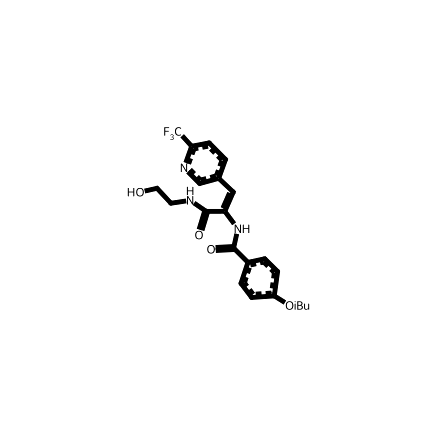 CC(C)COc1ccc(C(=O)N/C(=C/c2ccc(C(F)(F)F)nc2)C(=O)NCCO)cc1